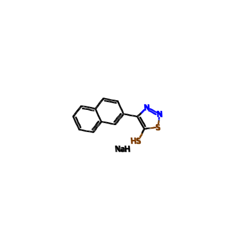 Sc1snnc1-c1ccc2ccccc2c1.[NaH]